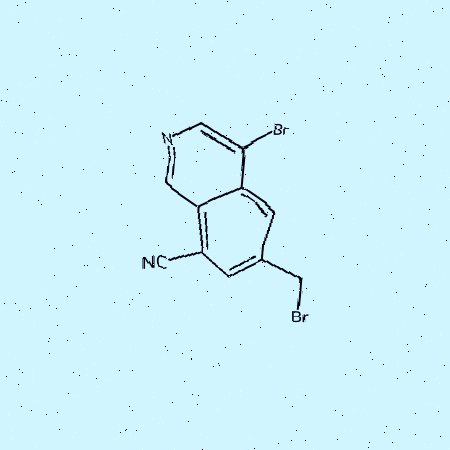 N#Cc1cc(CBr)cc2c(Br)cncc12